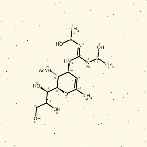 CB(O)/N=C(/NB(C)O)N[C@H]1C=C(C)O[C@@H]([C@H](O)C(O)CO)[C@@H]1NC(C)=O